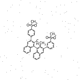 Cc1c(-c2ccc(S(C)(=O)=O)cc2)cc2ccccc2c1-c1c(C)c(-c2cccc(S(C)(=O)=O)c2)cc2ccccc12